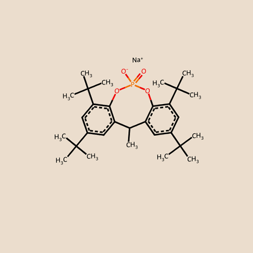 CC1c2cc(C(C)(C)C)cc(C(C)(C)C)c2OP(=O)([O-])Oc2c1cc(C(C)(C)C)cc2C(C)(C)C.[Na+]